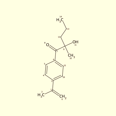 C=C(C)c1ccc(C(=O)C(C)(O)CCC)cc1